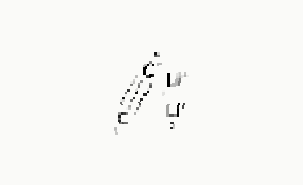 [C-]#[C-].[Li+].[Li+]